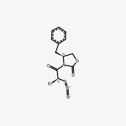 CC[C@H](N=[N+]=[N-])C(=O)N1C(=O)OC[C@@H]1Cc1ccccc1